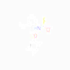 CCc1cccc(NC(=S)OC)c1COc1cc(C)c(C)cc1C